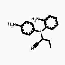 CCC(C#N)N(c1ccc(N)cc1)c1ccccc1N